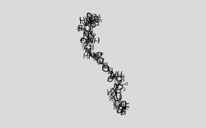 Cc1ccc(NC(=O)C2(c3ccc4c(c3)OC(F)(F)O4)CC2)nc1-c1cccc(C(=O)NCCOCCOCC(=O)NCCN2CCC(C(=O)Nc3nc4c(F)cc(NS(=O)(=O)c5cccs5)cc4s3)CC2)c1